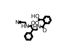 N#CCNC(=O)C(CNC(=O)c1ccccc1C(=O)O)c1ccccc1